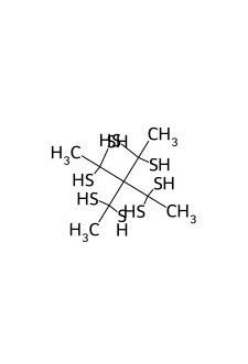 CC(S)(S)C(C(C)(S)S)(C(C)(S)S)C(C)(S)S